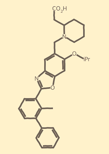 Cc1c(-c2ccccc2)cccc1-c1nc2cc(CN3CCCCC3CC(=O)O)c(OC(C)C)cc2o1